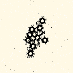 N#Cc1c(-c2ccccc2)c(C#N)c(-n2c3ccccc3c3c4oc5ccccc5c4ccc32)c(-c2ccccc2)c1-n1c2ccccc2c2c3oc4ccccc4c3ccc21